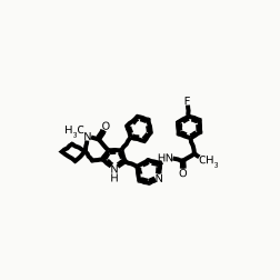 CC(C(=O)Nc1cc(-c2[nH]c3c(c2-c2ccccc2)C(=O)N(C)C2(CCC2)C3)ccn1)c1ccc(F)cc1